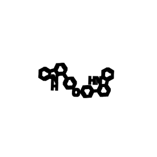 c1ccc2c(c1)[nH]c1c(-c3ccc(Oc4ccc(-c5cccc6c5[nH]c5ccccc56)cc4)cc3)cccc12